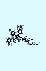 CCc1cccc(NC(=O)c2c(-c3ccc(F)cc3)c(-c3ccc(F)cc3)c(CC[C@@H](O)C[C@@H](O)CC(=O)[O-])n2C(C)C)c1.[Na+]